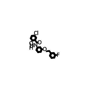 O=C(Nc1cccc(OCCc2cccc(F)c2)c1)c1cc(Cl)ccc1O